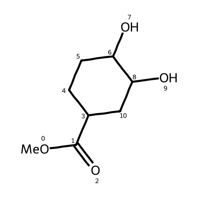 COC(=O)C1CCC(O)C(O)C1